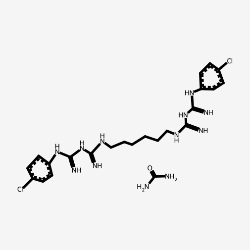 N=C(NCCCCCCNC(=N)NC(=N)Nc1ccc(Cl)cc1)NC(=N)Nc1ccc(Cl)cc1.NC(N)=O